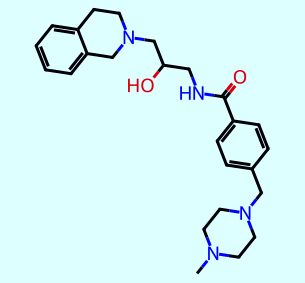 CN1CCN(Cc2ccc(C(=O)NCC(O)CN3CCc4ccccc4C3)cc2)CC1